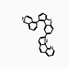 c1cc(-c2cccc3sc4ccc(-c5ccc6ccc7cccnc7c6n5)cc4c23)c2ccncc2c1